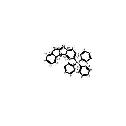 c1ccc([Si](c2ccccc2)(c2ccccc2)c2ccc3nc4sc5ccccc5n4c3c2)cc1